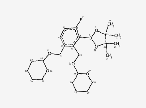 CC1(C)OB(c2c(F)ccc(COC3CCCCO3)c2COC2CCCCO2)OC1(C)C